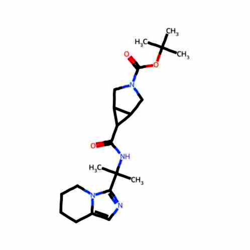 CC(C)(C)OC(=O)N1CC2C(C1)C2C(=O)NC(C)(C)c1ncc2n1CCCC2